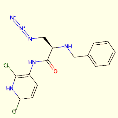 [N-]=[N+]=NC[C@@H](NCc1ccccc1)C(=O)NC1=C(Cl)NC(Cl)C=C1